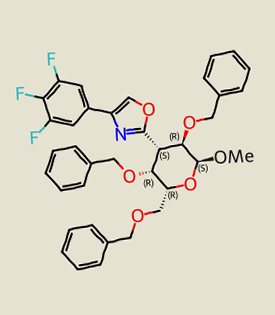 CO[C@H]1O[C@H](COCc2ccccc2)[C@H](OCc2ccccc2)[C@H](c2nc(-c3cc(F)c(F)c(F)c3)co2)[C@H]1OCc1ccccc1